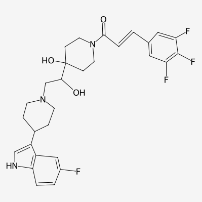 O=C(C=Cc1cc(F)c(F)c(F)c1)N1CCC(O)(C(O)CN2CCC(c3c[nH]c4ccc(F)cc34)CC2)CC1